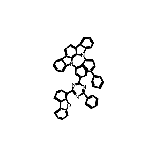 c1ccc(-c2ccc(-n3c4ccccc4c4ccc5c6ccccc6n(-c6cccc(-c7nc(-c8ccccc8)nc(-c8cccc9c8oc8ccccc89)n7)c6)c5c43)cc2)cc1